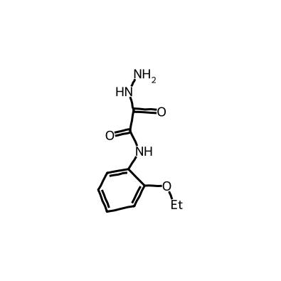 CCOc1ccccc1NC(=O)C(=O)NN